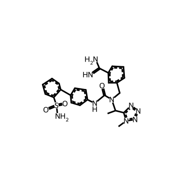 CC(c1nnnn1C)N(Cc1cccc(C(=N)N)c1)C(=O)Nc1ccc(-c2ccccc2S(N)(=O)=O)cc1